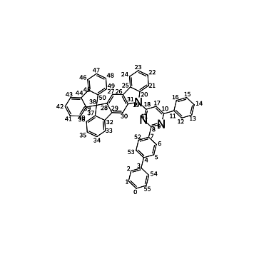 c1ccc(-c2ccc(-c3nc(-c4ccccc4)cc(-n4c5ccccc5c5cc6c(cc54)-c4ccccc4C64c5ccccc5-c5ccccc54)n3)cc2)cc1